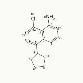 Nc1nccc(C(=O)C2CCCC2)c1C(=O)Cl